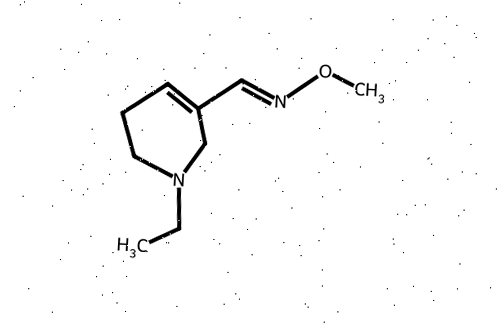 CCN1CCC=C(/C=N/OC)C1